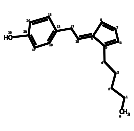 CCCCCC1=CC=CC1=CCc1ccc(O)cc1